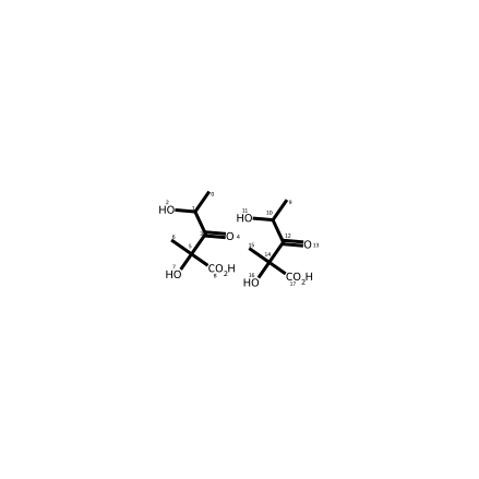 CC(O)C(=O)C(C)(O)C(=O)O.CC(O)C(=O)C(C)(O)C(=O)O